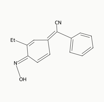 CCC1=CC(=C(\C#N)c2ccccc2)/C=CC/1=N\O